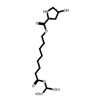 CCCCCCCCC(CCCCCCCC)OC(=O)CCCCCCCOC(=O)C1CC(O)CN1